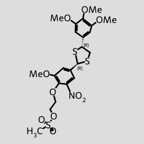 COc1cc([C@@H]2CS[C@@H](c3cc(OC)c(OCCOS(C)(=O)=O)c([N+](=O)[O-])c3)S2)cc(OC)c1OC